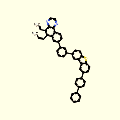 C=Cc1c(/C=C\C)c2cc(-c3cccc(-c4ccc5sc6ccc(-c7ccc(-c8ccccc8)cc7)cc6c5c4)c3)ccc2c2nccnc12